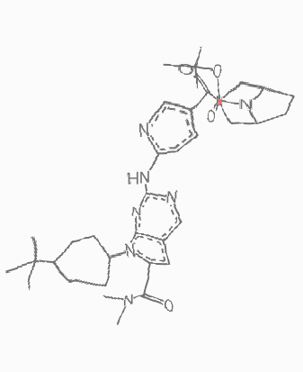 CN(C)C(=O)c1cc2cnc(Nc3ccc(C(=O)N4CC5CCC(C4)N5C(=O)OC(C)(C)C)cn3)nc2n1C1CCC(C(C)(C)C)CC1